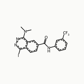 CN(C)c1nnc(I)c2ccc(C(=O)Nc3cccc(C(F)(F)F)c3)cc12